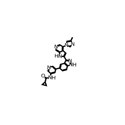 Cc1cn(-c2cncc3[nH]c(-c4n[nH]c5ccc(-c6cncc(NC(=O)C7CC7)c6)cc45)cc23)cn1